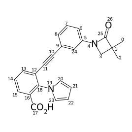 CC1(C)CN(c2cccc(C#Cc3cccc(C(=O)O)c3-n3cccc3)c2)C1=O